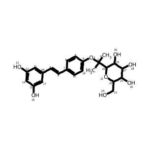 CC(C)(Oc1ccc(/C=C/c2cc(O)cc(O)c2)cc1)C1OC(CO)C(O)C(O)C1O